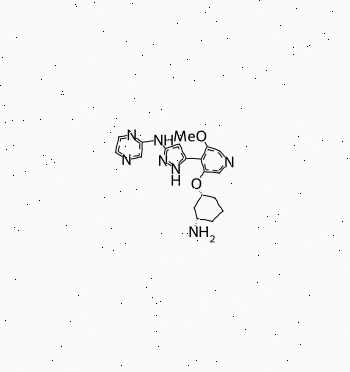 COc1cncc(O[C@@H]2CCC[C@H](N)C2)c1-c1cc(Nc2cnccn2)n[nH]1